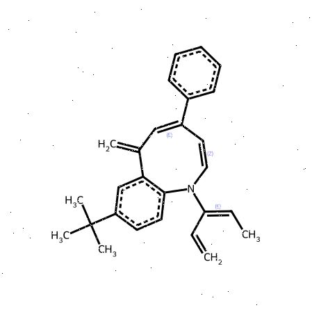 C=C/C(=C\C)N1/C=C\C(c2ccccc2)=C/C(=C)c2cc(C(C)(C)C)ccc21